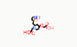 O=C(O)COC1CCN(CC(=O)O)C(CC2CCNO2)C1